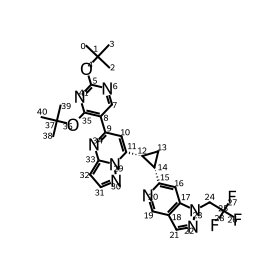 CC(C)(C)Oc1ncc(-c2cc([C@@H]3C[C@@H]3c3cc4c(cn3)cnn4CC(F)(F)F)n3nccc3n2)c(OC(C)(C)C)n1